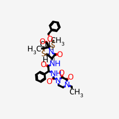 CCN1CCN(C(=O)NC(C(=O)N[C@@H]2C(=O)N3[C@@H]2SC(C)(C)[C@]3(SC)C(=O)OCc2ccccc2)c2ccccc2)C(=O)C1=O